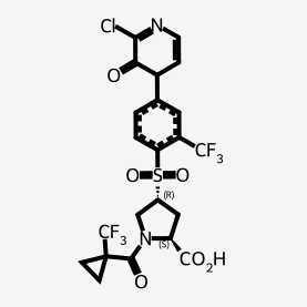 O=C1C(Cl)=NC=CC1c1ccc(S(=O)(=O)[C@@H]2C[C@@H](C(=O)O)N(C(=O)C3(C(F)(F)F)CC3)C2)c(C(F)(F)F)c1